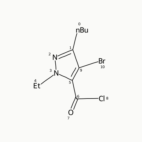 CCCCc1nn(CC)c(C(=O)Cl)c1Br